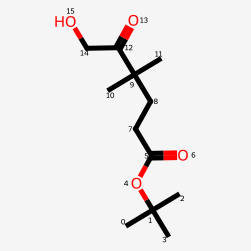 CC(C)(C)OC(=O)CCC(C)(C)C(=O)CO